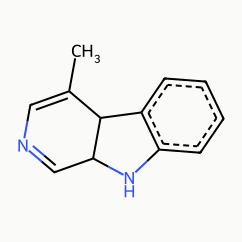 CC1=CN=CC2Nc3ccccc3C12